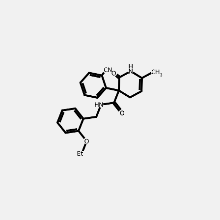 CCOc1ccccc1CNC(=O)C1(c2ccccc2C#N)CC=C(C)NC1=O